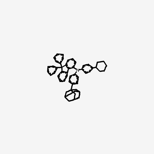 c1ccc(C2(c3ccccc3)c3ccccc3-c3c(N(c4ccc(C5CCCCC5)cc4)c4ccc(C56CC7CC(CC(C7)C5)C6)cc4)cccc32)cc1